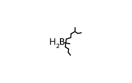 BC(C)(CCCC)CCCC(C)CC